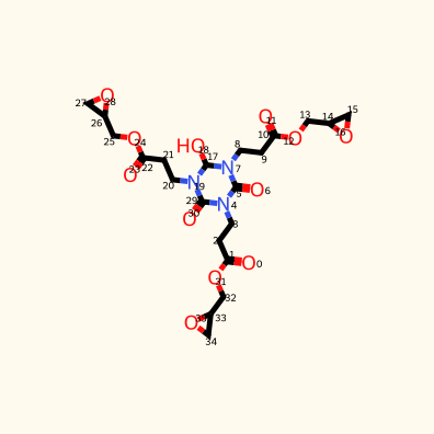 O=C(CCN1C(=O)N(CCC(=O)OCC2CO2)C(O)N(CCC(=O)OCC2CO2)C1=O)OCC1CO1